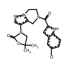 CC1(C)CN(c2cnn3c2CN(C(=O)c2cc4cc(Cl)ccc4[nH]2)CC3)C(=O)O1